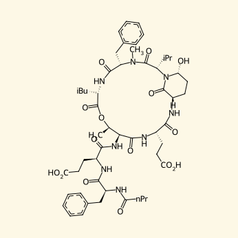 CCCC(=O)N[C@@H](Cc1ccccc1)C(=O)N[C@@H](CCC(=O)O)C(=O)N[C@@H]1C(=O)N[C@@H](CCC(=O)O)C(=O)N[C@H]2CC[C@@H](O)N(C2=O)[C@@H](C(C)C)C(=O)N(C)[C@@H](Cc2ccccc2)C(=O)N[C@@H]([C@@H](C)CC)C(=O)O[C@@H]1C